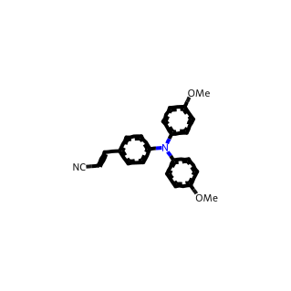 COc1ccc(N(c2ccc(/C=C/C#N)cc2)c2ccc(OC)cc2)cc1